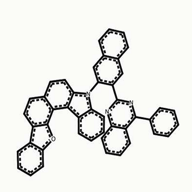 c1ccc(-c2nc(-c3cc4ccccc4cc3-n3c4ccccc4c4c5c(ccc6c7ccccc7oc65)ccc43)nc3ccccc23)cc1